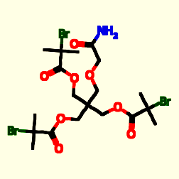 CC(C)(Br)C(=O)OCC(COCC(N)=O)(COC(=O)C(C)(C)Br)COC(=O)C(C)(C)Br